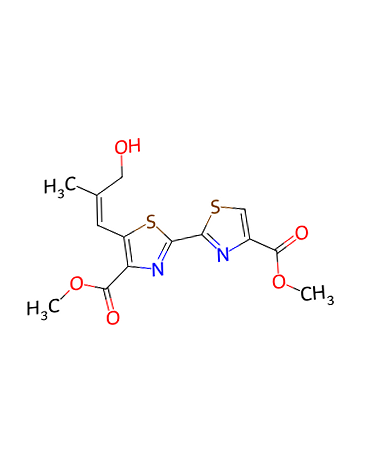 COC(=O)c1csc(-c2nc(C(=O)OC)c(C=C(C)CO)s2)n1